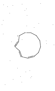 [CH]1/C=C/C=C/C=C\CCCCCC1